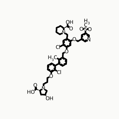 Cc1c(COc2cc(OCc3cncc(S(C)(=O)=O)c3)c(CN3CCCC[C@H]3C(=O)O)cc2Cl)cccc1-c1cccc(OCCCN2C[C@H](O)C[C@H]2C(=O)O)c1Cl